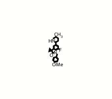 COc1ccc(CN2C(=O)C3(CC3)c3cc(C4CCC(C)CN4)cc(F)c32)cc1